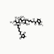 CC(C)[C@H](NC(=O)CCCCCN1C(=O)C=CC1=O)C(=O)N[C@@H](C)C(=O)N[C@@H](CCCCNC(=O)[C@H]1CCC[C@H]1N)C(=O)O